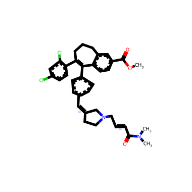 COC(=O)c1ccc2c(c1)CCCC(c1ccc(Cl)cc1Cl)=C2c1ccc(/C=C2/CCN(C/C=C/C(=O)N(C)C)C2)cc1